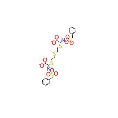 COC(=O)/C(=N/OS(=O)(=O)Cc1ccccc1)SCCSCCS/C(=N\OS(=O)(=O)Cc1ccccc1)C(=O)OC